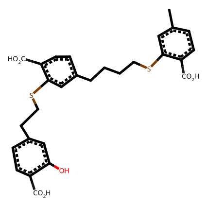 Cc1ccc(C(=O)O)c(SCCCCc2ccc(C(=O)O)c(SCCc3ccc(C(=O)O)c(O)c3)c2)c1